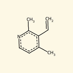 C=Cc1c(C)ccnc1C